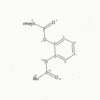 CCCCCCCC(=O)Oc1ccccc1OC(=O)C(C)CC